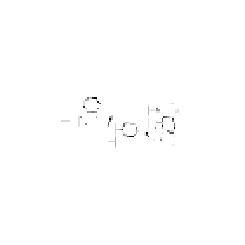 CC1(C)CCC(C)(C)c2c1cc1c(c2NC(=O)c2ccc(NC(=O)Nc3ccccc3N)cc2)CCCC1